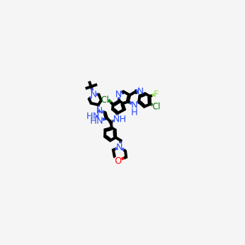 CC(C)(C)N1CCC(N2C=C([C@@H](Nc3cc(Cl)c4ncc(C#N)c(Nc5ccc(F)c(Cl)c5)c4c3)c3cccc(CN4CCOCC4)c3)NN2)CC1